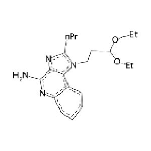 CCCc1nc2c(N)nc3ccccc3c2n1CCC(OCC)OCC